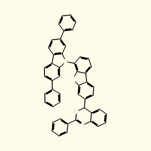 c1ccc(C2=Nc3ccccc3C(c3ccc4c(c3)oc3c(-n5c6cc(-c7ccccc7)ccc6c6ccc(-c7ccccc7)cc65)cccc34)N2)cc1